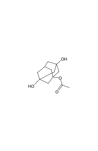 CC(=O)OC12CC3CC(O)(CC(O)(C3)C1)C2